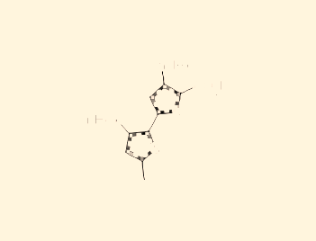 CCCCCCc1cc(-c2sc(C)cc2CCCCCC)sc1C(=O)O